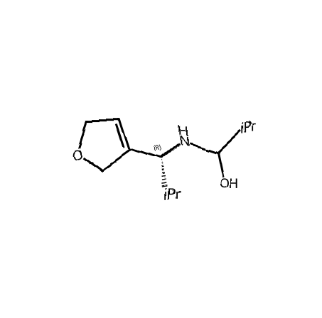 CC(C)C(O)N[C@@H](C1=CCOC1)C(C)C